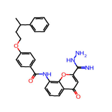 CC(CCOc1ccc(C(=O)Nc2cccc3c(=O)cc(C(=N)NN)oc23)cc1)c1ccccc1